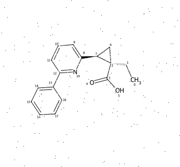 CC[C@@]1(C(=O)O)C[C@@H]1c1cccc(-c2ccccc2)n1